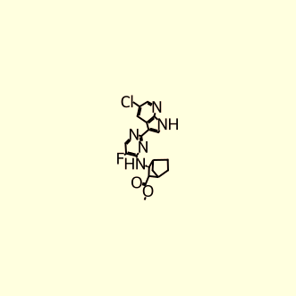 COC(=O)C1C2CCC(C2)[C@@H]1Nc1nc(-c2c[nH]c3ncc(Cl)cc23)ncc1F